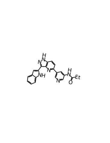 CCC(=O)Nc1cncc(-c2ccc3[nH]nc(-c4cc5ccccc5[nH]4)c3n2)c1